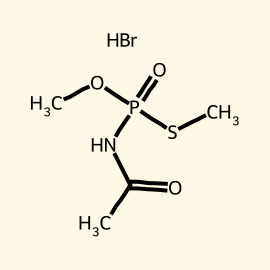 Br.COP(=O)(NC(C)=O)SC